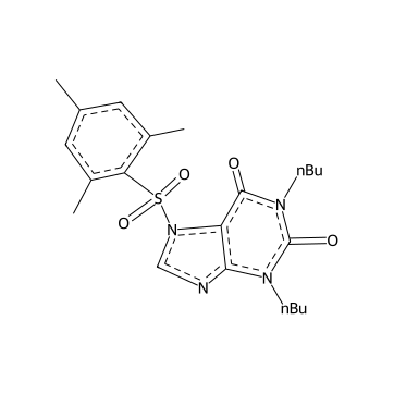 CCCCn1c(=O)c2c(ncn2S(=O)(=O)c2c(C)cc(C)cc2C)n(CCCC)c1=O